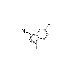 N#Cc1n[nH]c2ccc(F)cc12